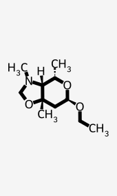 CCO[C@H]1C[C@]2(C)OCN(C)[C@@H]2[C@H](C)O1